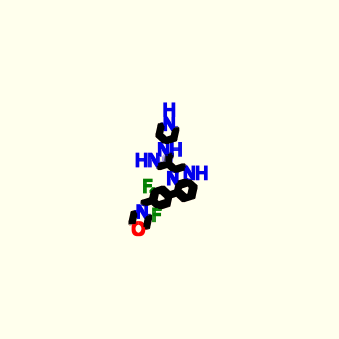 N=C/C(=C\NC1CCNCC1)C1=Nc2c(cccc2-c2cc(F)c(CN3CCOCC3)c(F)c2)NC1